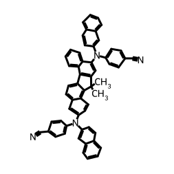 CC1(C)c2cc(N(c3ccc(C#N)cc3)c3ccc4ccccc4c3)c3ccccc3c2-c2ccc3cc(N(c4ccc(C#N)cc4)c4ccc5ccccc5c4)ccc3c21